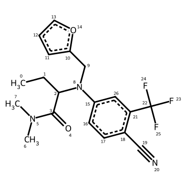 CCC(C(=O)N(C)C)N(Cc1ccco1)c1ccc(C#N)c(C(F)(F)F)c1